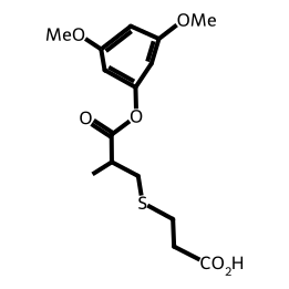 COc1cc(OC)cc(OC(=O)C(C)CSCCC(=O)O)c1